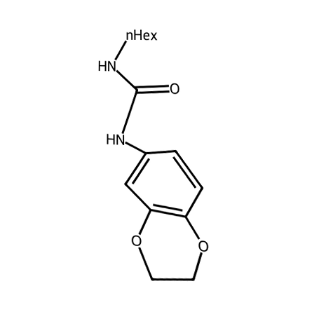 CCCCCCNC(=O)Nc1ccc2c(c1)OCCO2